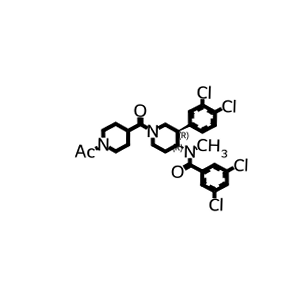 CC(=O)N1CCC(C(=O)N2CC[C@@H](N(C)C(=O)c3cc(Cl)cc(Cl)c3)[C@H](c3ccc(Cl)c(Cl)c3)C2)CC1